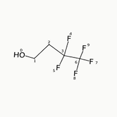 OCCC(F)(F)C(F)(F)F